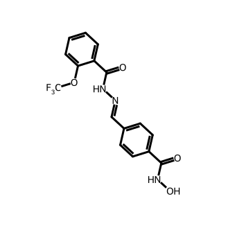 O=C(NO)c1ccc(/C=N/NC(=O)c2ccccc2OC(F)(F)F)cc1